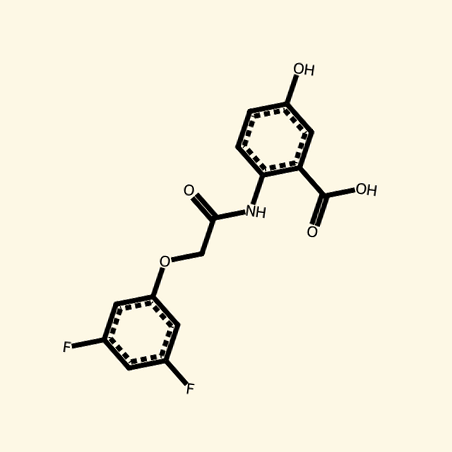 O=C(COc1cc(F)cc(F)c1)Nc1ccc(O)cc1C(=O)O